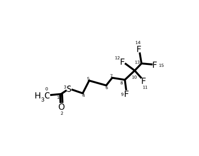 CC(=O)SCCCCC(F)C(F)(F)C(F)F